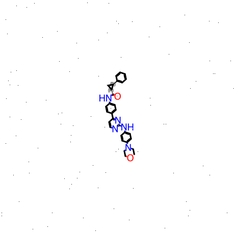 O=C(Nc1ccc(-c2ccnc(Nc3ccc(N4CCOCC4)cc3)n2)cc1)[C@@H]1C[C@H]1c1ccccc1